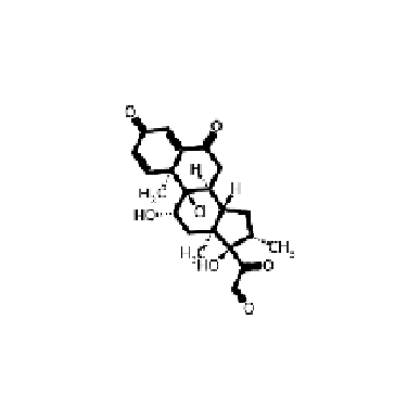 C[C@H]1C[C@H]2[C@@H]3CC(=O)C4=CC(=O)C=C[C@]4(C)[C@@]3(Cl)[C@@H](O)C[C@]2(C)[C@@]1(O)C(=O)C=O